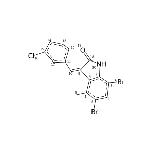 Cc1c(Br)cc(Br)c2c1C(=Cc1cccc(Cl)c1)C(=O)N2